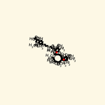 CC[C@H]1OC(=O)[C@H](C)[C@@H](O[C@@H]2C[C@@H](C)[C@H](OS(=O)(=O)CCNCCCOc3ccc4c(=N)c(C(=O)O)cn(N(C)C)c4c3)[C@](C)(OC)C2)[C@H](C)[C@@H](O[C@@H]2O[C@H](C)C[C@H](N(C)C)[C@H]2O)[C@](C)(OC)C[C@@H](C)C(=O)[C@H](C)[C@@H](O)[C@]1(C)O